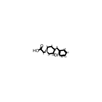 O=C(O)CN1CC[C@@H](Cc2ccccc2)[C@H](O)C1